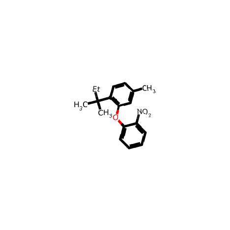 CCC(C)(C)c1ccc(C)cc1Oc1ccccc1[N+](=O)[O-]